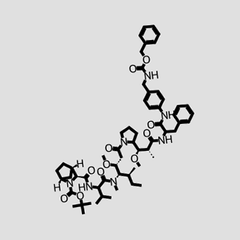 CC[C@H](C)[C@@H]([C@@H](CC(=O)N1CCCC1[C@H](OC)[C@@H](C)C(=O)NC(Cc1ccccc1)C(=O)Nc1ccc(CNC(=O)OCc2ccccc2)cc1)OC)N(C)C(=O)C(NC(=O)[C@@H]1[C@H]2CC[C@H](C2)N1C(=O)OC(C)(C)C)C(C)C